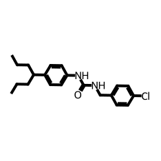 CCCC(CCC)c1ccc(NC(=O)NCc2ccc(Cl)cc2)cc1